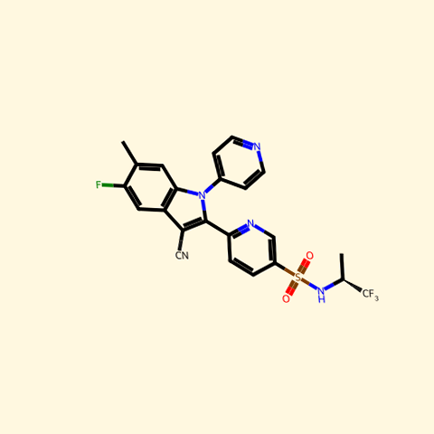 Cc1cc2c(cc1F)c(C#N)c(-c1ccc(S(=O)(=O)N[C@@H](C)C(F)(F)F)cn1)n2-c1ccncc1